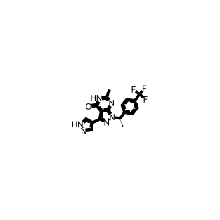 Cc1nc2c(c(-c3cn[nH]c3)nn2[C@@H](C)c2ccc(C(F)(F)F)cc2)c(=O)[nH]1